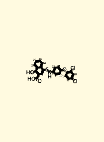 O=C(O)c1cc(SNc2ccc(Oc3ccc(Cl)cc3Cl)cc2)c2ccccc2c1O